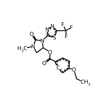 CCOc1ccc(C(=O)OC2CN(C)C(=O)N2c2nnc(C(F)(F)F)s2)cc1